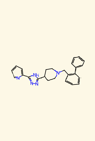 [c]1cccc(CN2CCC(c3nnc(-c4ccccn4)[nH]3)CC2)c1-c1ccccc1